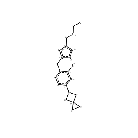 CCOCc1cn(Cc2ccc(N3CC4(CC4)C3)nc2Br)nn1